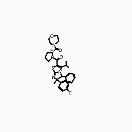 CC(C)C1=C(C(=O)N2CCC[C@H]2C(=O)N2CCOCC2)SC2=NC(C)(c3ccc(Cl)cc3)C(c3ccccc3)N21